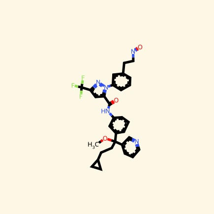 COC(CCC1CC1)(c1cccnc1)c1cccc(NC(=O)c2cc(C(F)(F)F)nn2-c2cccc(CCN=O)c2)c1